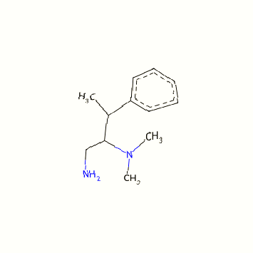 CC(c1ccccc1)C(CN)N(C)C